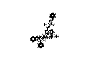 O=C(NCCCC[C@H](O[PH](=O)OCC(Cc1ccccc1)OC(=O)c1ccccc1)C(=O)N1CCC[C@H]1C(=O)O)OCc1ccccc1